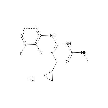 CNC(=O)NC(=NCC1CC1)Nc1cccc(F)c1F.Cl